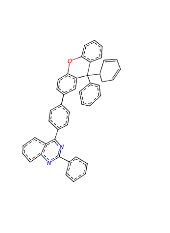 C1=CCC(C2(c3ccccc3)c3ccccc3Oc3ccc(-c4ccc(-c5nc(-c6ccccc6)nc6ccccc56)cc4)cc32)C=C1